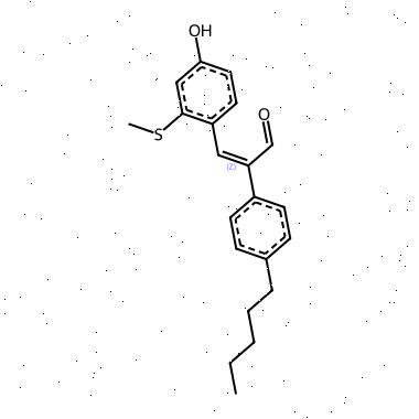 CCCCCc1ccc(/C(C=O)=C/c2ccc(O)cc2SC)cc1